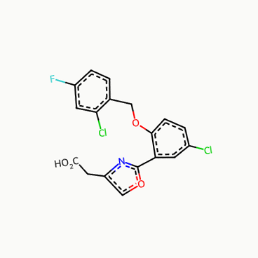 O=C(O)Cc1coc(-c2cc(Cl)ccc2OCc2ccc(F)cc2Cl)n1